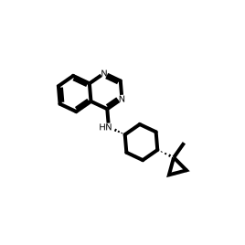 CC1([C@H]2CC[C@@H](Nc3ncnc4ccccc34)CC2)CC1